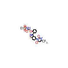 CCS(=O)(=O)NC(=O)COc1ccccc1-c1nsc2ccc(-n3c(=O)cc(C(F)(F)F)n(C)c3=O)cc12